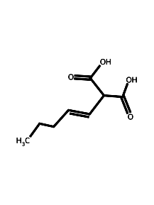 CCCC=CC(C(=O)O)C(=O)O